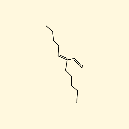 CCCCC=C(C=O)CCCCC